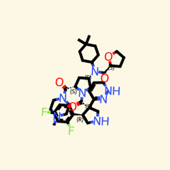 CN1CCN(C(=O)[C@@H]2C[C@H](N(C(=O)[C@@H]3CCCO3)C3CCC(C)(C)CC3)CN2C(=O)[C@]2(C3=NNCC=C3)CNC[C@H]2c2ccc(F)cc2F)CC1